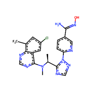 C[C@@H](c1ncnn1-c1ccc(C(N)=NO)cn1)N(C)c1ncnc2c(C(F)(F)F)cc(Cl)cc12